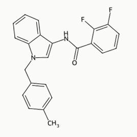 Cc1ccc(Cn2cc(NC(=O)c3cccc(F)c3F)c3ccccc32)cc1